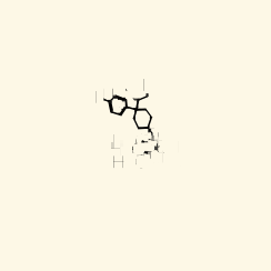 CC(C)(C)[Si](C)(C)OC1CCC(c2ccc(F)cc2)(C(N)CF)CC1